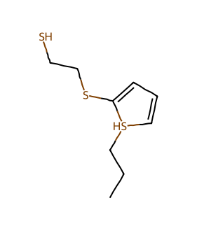 CCC[SH]1C=CC=C1SCCS